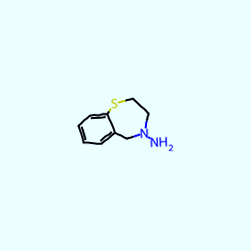 NN1CCSc2ccccc2C1